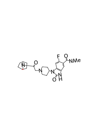 CNC(=O)c1cc2[nH]c(=O)n(C3CCN(CC(=O)N4CC5CCC(CC5)C4)CC3)c2cc1F